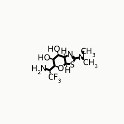 CN(C)C1=N[C@@H]2[C@@H](O)[C@H](O)[C@H]([C@H](N)C(F)(F)F)O[C@@H]2S1